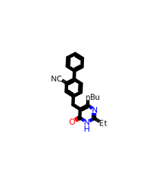 CCCCc1nc(CC)[nH]c(=O)c1Cc1ccc(-c2ccccc2)c(C#N)c1